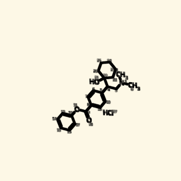 CN(C)CC(c1ccc(C(=O)Oc2ccccc2)cc1)C1(O)CCCCC1.Cl